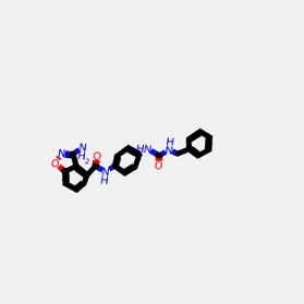 Nc1noc2cccc(C(=O)Nc3ccc(NC(=O)NCc4ccccc4)cc3)c12